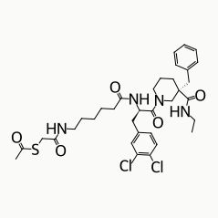 CCNC(=O)[C@]1(Cc2ccccc2)CCCN(C(=O)[C@@H](Cc2ccc(Cl)c(Cl)c2)NC(=O)CCCCCNC(=O)CSC(C)=O)C1